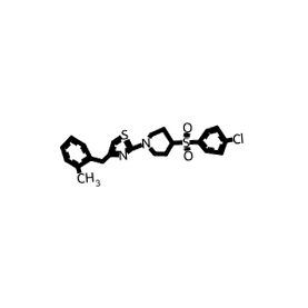 Cc1ccccc1Cc1csc(N2CCC(S(=O)(=O)c3ccc(Cl)cc3)CC2)n1